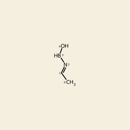 C/C=N/BO